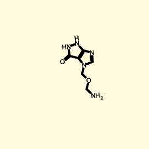 NCOCn1cnc2[nH][nH]c(=O)c21